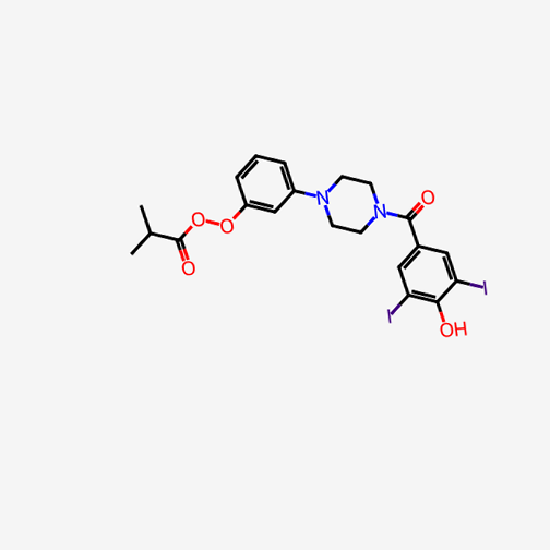 CC(C)C(=O)OOc1cccc(N2CCN(C(=O)c3cc(I)c(O)c(I)c3)CC2)c1